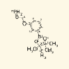 CC1(C)OB(c2cccc(OCOP)c2)OC1(C)C